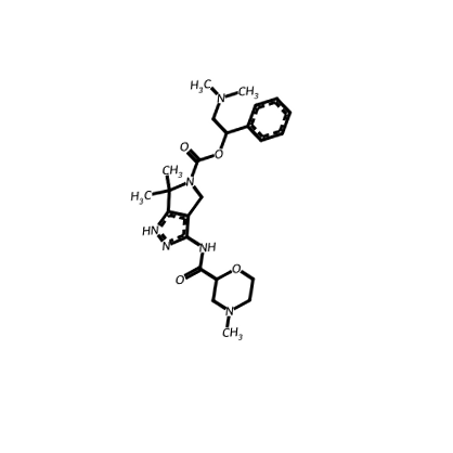 CN(C)CC(OC(=O)N1Cc2c(NC(=O)C3CN(C)CCO3)n[nH]c2C1(C)C)c1ccccc1